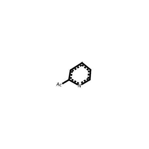 CC(=O)c1c[c]ccn1